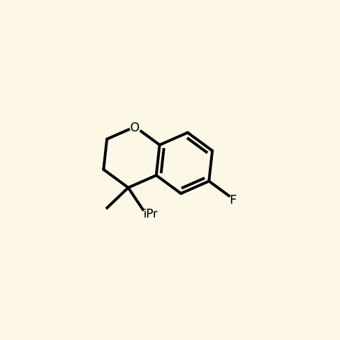 CC(C)C1(C)CCOc2ccc(F)cc21